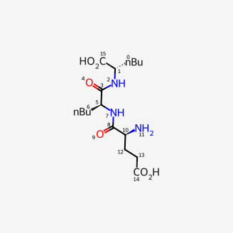 CCCC[C@H](NC(=O)[C@H](CCCC)NC(=O)[C@@H](N)CCC(=O)O)C(=O)O